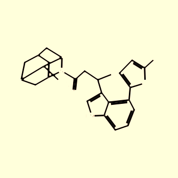 CC(CC(=O)N1C2CC3CC(C2)C(C(=O)O)C1C3)c1c[nH]c2cccc(-c3ccc(F)o3)c12